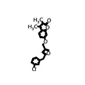 Cc1c(C)c2ccc(OCc3coc(Cc4cccc(Cl)c4)c3)cc2oc1=O